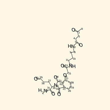 CC(=O)CCC(=O)NCCCCNC(=O)COc1cccc2c1C(=O)N(C(CCC=O)C(N)=O)C2=O